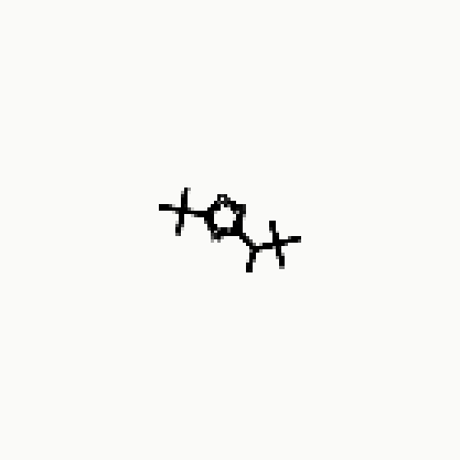 CC(c1noc(C(C)(C)C)n1)C(C)(C)C